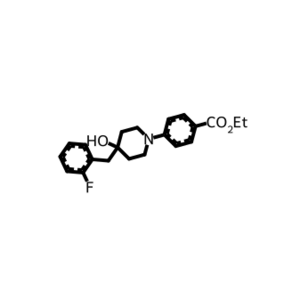 CCOC(=O)c1ccc(N2CCC(O)(Cc3ccccc3F)CC2)cc1